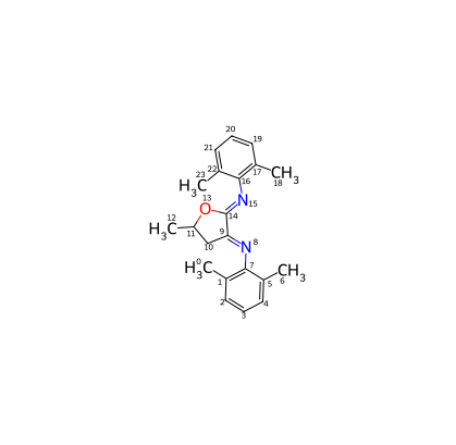 Cc1cccc(C)c1N=C1CC(C)OC1=Nc1c(C)cccc1C